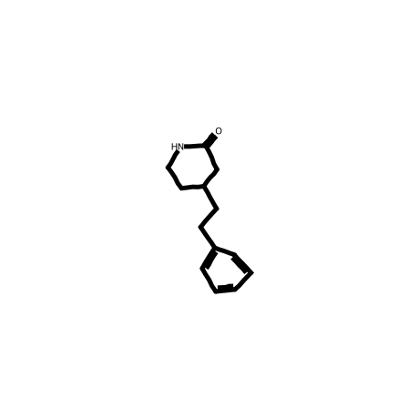 O=C1CC(CCc2ccccc2)CCN1